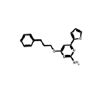 Nc1nc(OCCCc2ccccc2)cc(-c2ccco2)n1